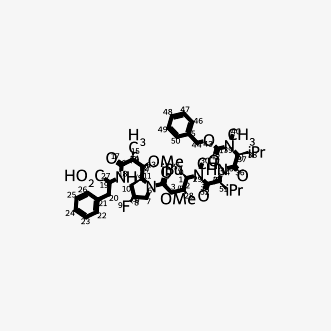 CC[C@H](C)C([C@@H](CC(=O)N1C[C@@H](F)C[C@H]1[C@H](OC)[C@@H](C)C(=O)NC(Cc1ccccc1)C(=O)O)OC)N(C)C(=O)[C@@H](NC(=O)[C@H](C(C)C)N(C)C(=O)OCc1ccccc1)C(C)C